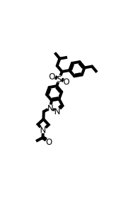 CCc1ccc(C(CC(C)C)S(=O)(=O)c2ccc3c(cnn3CC3CN(C(C)=O)C3)c2)cc1